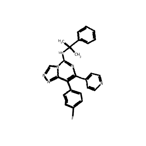 CC(C)(Nc1nc(-c2ccncc2)c(-c2ccc(F)cc2)c2nncn12)c1ccccc1